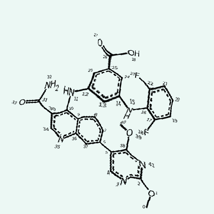 COc1ncc(-c2ccc3c(Nc4cc(Nc5c(F)cccc5F)cc(C(=O)O)c4)c(C(N)=O)cnc3c2)c(OC)n1